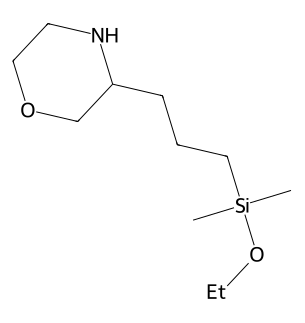 CCO[Si](C)(C)CCCC1COCCN1